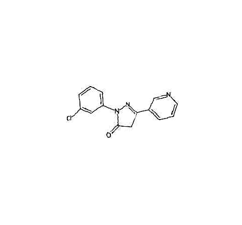 O=C1CC(c2cccnc2)=NN1c1cccc(Cl)c1